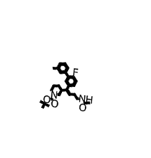 CC(=O)NCC/C=C(\c1ccc(F)c(-c2cccc(C)c2)c1)C1CCCN(C(=O)OC(C)(C)C)C1